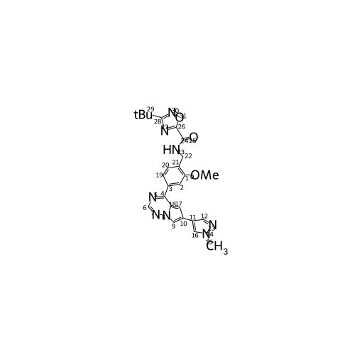 COc1cc(-c2ncnn3cc(-c4cnn(C)c4)cc23)ccc1CNC(=O)c1nc(C(C)(C)C)no1